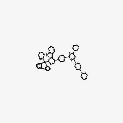 c1ccc(-c2ccc(-c3nc(-c4ccccc4)nc(-c4ccc(-c5ccc6c7c5c5ccccc5n7-c5ccccc5C65c6ccccc6-c6ccccc65)cc4)n3)cc2)cc1